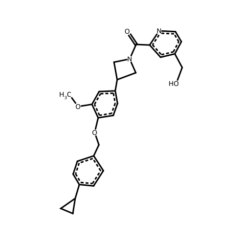 COc1cc(C2CN(C(=O)c3cc(CO)ccn3)C2)ccc1OCc1ccc(C2CC2)cc1